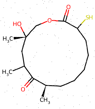 CC1C[C@](C)(O)COC(=O)C(S)CCCCC[C@@H](C)C1=O